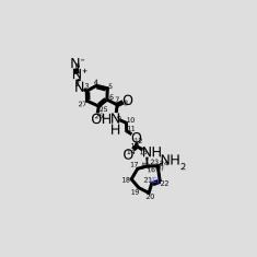 [N-]=[N+]=Nc1ccc(C(=O)NCCOC(=O)N[C@@H]2CCCC/C=C/[C@H]2N)c(O)c1